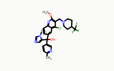 COc1nc2ccc(C(O)(c3ccc(C)nc3)c3cncn3C)cc2c(Cl)c1CN1CCC(C(F)(F)F)CC1